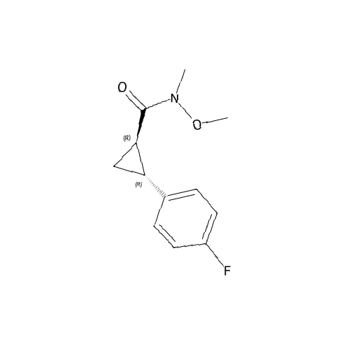 CON(C)C(=O)[C@@H]1C[C@H]1c1ccc(F)cc1